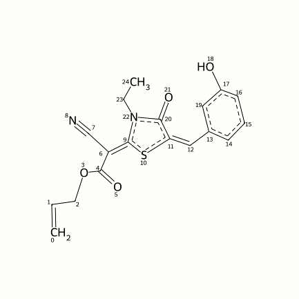 C=CCOC(=O)/C(C#N)=c1\sc(=Cc2cccc(O)c2)c(=O)n1CC